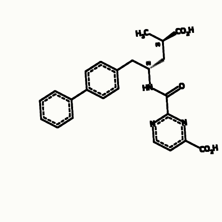 C[C@H](C[C@@H](Cc1ccc(-c2ccccc2)cc1)NC(=O)c1nccc(C(=O)O)n1)C(=O)O